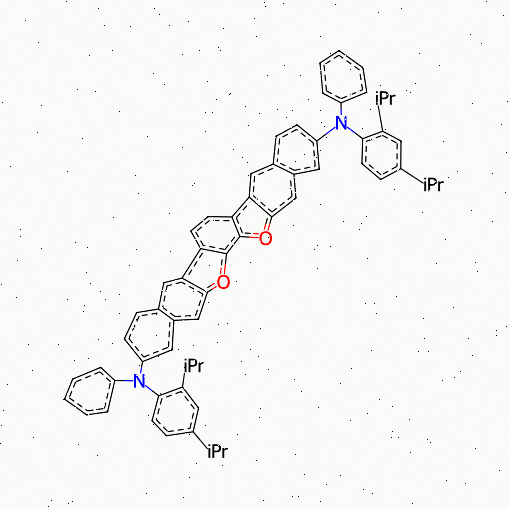 CC(C)c1ccc(N(c2ccccc2)c2ccc3cc4c(cc3c2)oc2c4ccc3c4cc5ccc(N(c6ccccc6)c6ccc(C(C)C)cc6C(C)C)cc5cc4oc32)c(C(C)C)c1